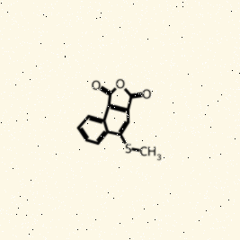 CSc1cc2c(c3ccccc13)C(=O)OC2=O